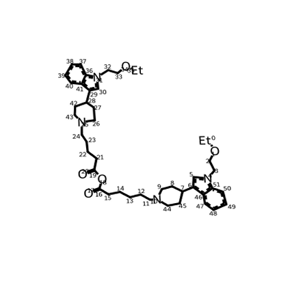 CCOCCn1cc(C2CCN(CCCCCC(=O)OC(=O)CCCCN3CCC(c4cn(CCOCC)c5ccccc45)CC3)CC2)c2ccccc21